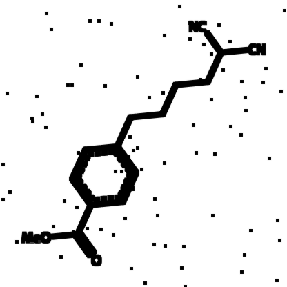 COC(=O)c1ccc(CCCCC(C#N)C#N)cc1